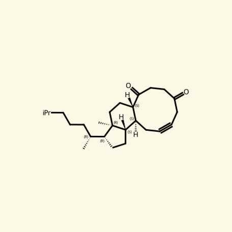 CC(C)CCC[C@@H](C)[C@H]1CC[C@H]2[C@@H]3CC#CCC(=O)CCC(=O)[C@H]3CC[C@]12C